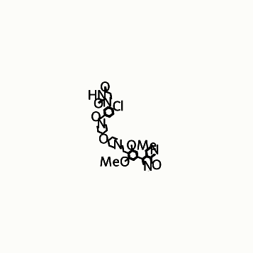 COc1cc(-c2cn(C)c(=O)c3cnccc23)cc(OC)c1CCN1CCC(OC2CCN(C(=O)c3ccc(Cl)c(N4CCC(=O)NC4=O)c3)CC2)CC1